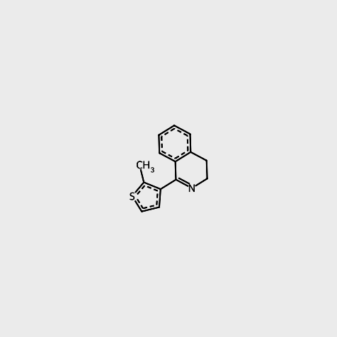 Cc1sccc1C1=NCCc2ccccc21